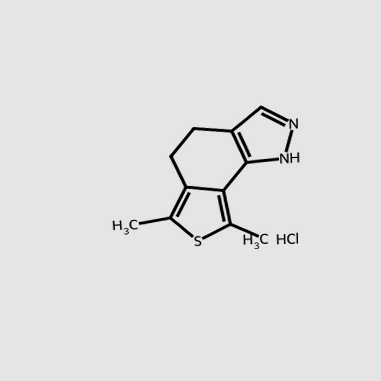 Cc1sc(C)c2c1CCc1cn[nH]c1-2.Cl